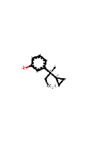 C[C@@](CC(=O)O)(c1cccc(O)c1)C1CC1